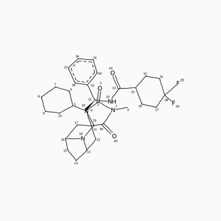 CN1C(=O)N(C2CCCCC2)C2(CC3CCC(C2)N3CC[C@H](NC(=O)C2CCC(F)(F)CC2)c2ccccc2)C1=O